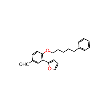 O=Cc1ccc(OCCCCCc2ccccc2)c(-c2ccco2)c1